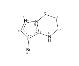 Brc1cnn2c1NCCC2